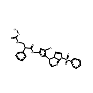 CC(C)(C)OC(=O)NCC(C(=O)Nc1cc(Br)c(C2C=CN=C3C2C=CN3S(=O)(=O)c2ccccc2)s1)c1ccccc1